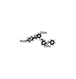 COc1cc(OCc2ccc(OC)c(OCc3ccccc3)c2)c2cc(-c3cn4nc(OC)sc4n3)oc2c1